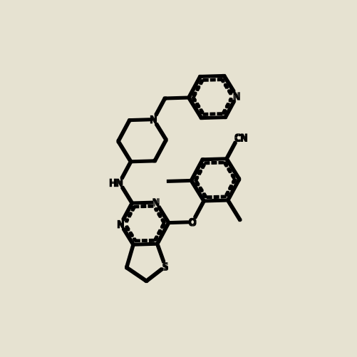 Cc1cc(C#N)cc(C)c1Oc1nc(NC2CCN(Cc3ccncc3)CC2)nc2c1SCC2